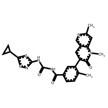 Cc1cc2c(cn1)cc(-c1cc(C(=O)NC(=O)Nc3nnc(C4CC4)s3)ccc1C)c(=O)n2C